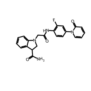 NC(=O)C1CN(CC(=O)Nc2ccc(-n3ccccc3=O)cc2F)c2ccccc21